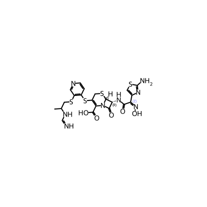 CC(CSc1cnccc1SC1=C(C(=O)O)N2C(=O)[C@@H](NC(=O)/C(=N\O)c3csc(N)n3)[C@@H]2SC1)NC=N